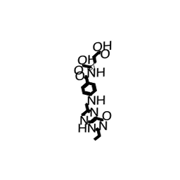 CCc1nc(=O)c2nc(CNc3ccc(C(=O)N[C@@H](CCC(=O)O)C(=O)O)cc3)cnc2[nH]1